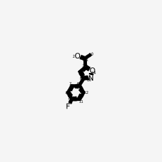 CC(=O)c1cc(-c2ccc(F)cc2)no1